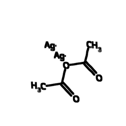 CC(=O)OC(C)=O.[Ag].[Ag]